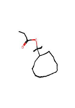 CCC(=O)OC(C)(C)C1CCCCCCCCC1